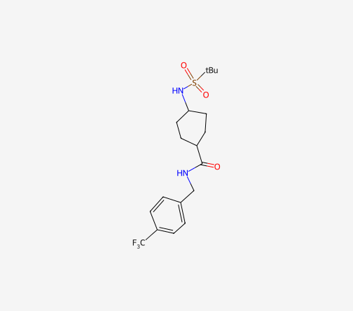 CC(C)(C)S(=O)(=O)NC1CCC(C(=O)NCc2ccc(C(F)(F)F)cc2)CC1